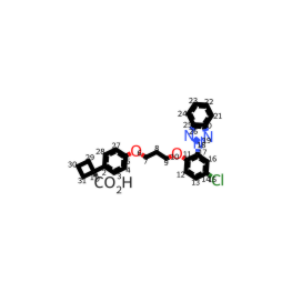 O=C(O)C1(c2ccc(OCCCOc3ccc(Cl)cc3-n3nc4ccccc4n3)cc2)CCC1